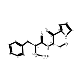 CC(C)C[C@H](NC(=O)[C@H](Cc1ccccc1)NC(=O)O)C(=O)c1ccco1